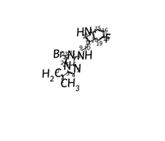 C=C(C)c1cnc2c(NCCc3c[nH]c4ccc(F)cc34)nc(Br)cn12